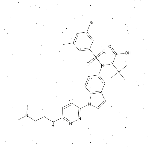 Cc1cc(Br)cc(S(=O)(=O)N(c2ccc3c(ccn3-c3ccc(NCCN(C)C)nn3)c2)C(C(=O)O)C(C)(C)C)c1